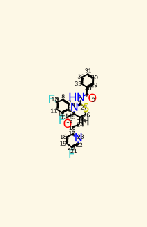 O=C(NC1=N[C@@]2(c3ccc(F)cc3F)CO[C@@H](c3ccc(F)cn3)C[C@H]2CS1)c1ccccc1